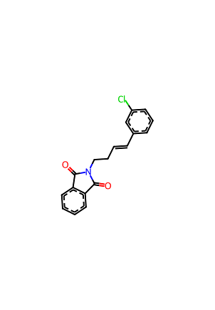 O=C1c2ccccc2C(=O)N1CC/C=C/c1cccc(Cl)c1